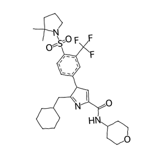 CC1(C)CCCN1S(=O)(=O)c1ccc(C2C=C(C(=O)NC3CCOCC3)N=C2CC2CCCCC2)cc1C(F)(F)F